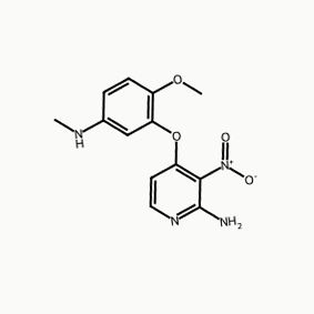 CNc1ccc(OC)c(Oc2ccnc(N)c2[N+](=O)[O-])c1